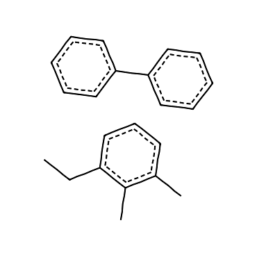 CCc1cccc(C)c1C.c1ccc(-c2ccccc2)cc1